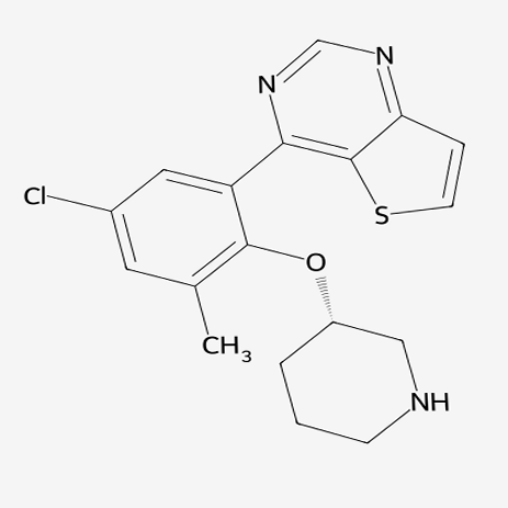 Cc1cc(Cl)cc(-c2ncnc3ccsc23)c1O[C@H]1CCCNC1